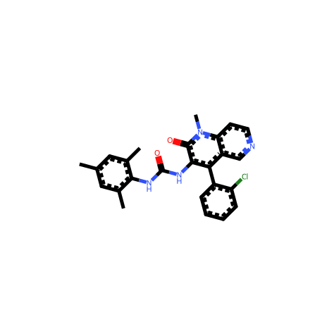 Cc1cc(C)c(NC(=O)Nc2c(-c3ccccc3Cl)c3cnccc3n(C)c2=O)c(C)c1